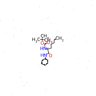 C=CCCC[C@H](NC(=O)OC(C)(C)C)C(=O)Nc1ccccc1